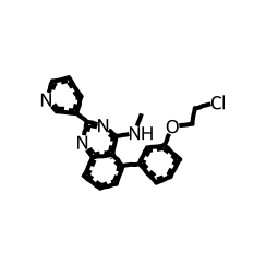 CNc1nc(-c2cccnc2)nc2cccc(-c3cccc(OCCCl)c3)c12